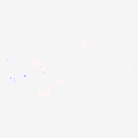 O=C(O)[C@](O)(Cn1cncn1)c1ccc(Oc2ccc(Cl)cc2)cc1Cl